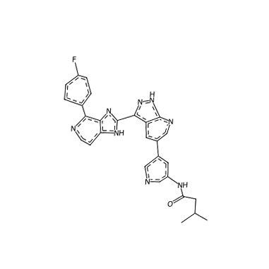 CC(C)CC(=O)Nc1cncc(-c2cnc3[nH]nc(-c4nc5c(-c6ccc(F)cc6)nccc5[nH]4)c3c2)c1